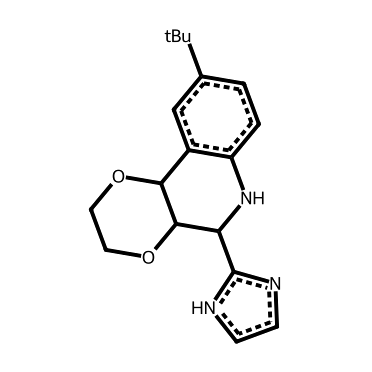 CC(C)(C)c1ccc2c(c1)C1OCCOC1C(c1ncc[nH]1)N2